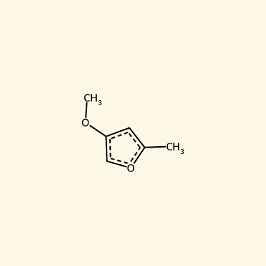 COc1coc(C)c1